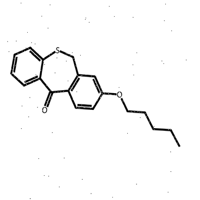 CCCCCOc1ccc2c(c1)CSc1ccccc1C2=O